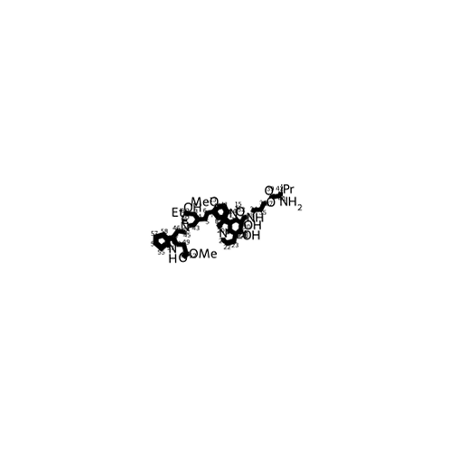 CCC1(O)CC(CCc2cc3c(cc2OC)N(C)C2C34CCN3CC=C[C@](CC)(C34)[C@@H](O)[C@]2(O)C(=O)NCCCOC(=O)C(N)C(C)C)CN(CCc2c(CC(=O)OC)[nH]c3ccccc23)C1